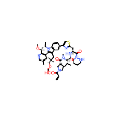 C=CC(=O)N1CC[C@H](C(=O)N(C)[C@H](C(=O)N[C@@H](Cc2nc(-c3ccc4c(c3)c(CC(C)(C)COCO)c(-c3cc(C)cnc3[C@H](C)OC)n4CC)cs2)C(=O)N2CCCCN2)C(C)C)C1